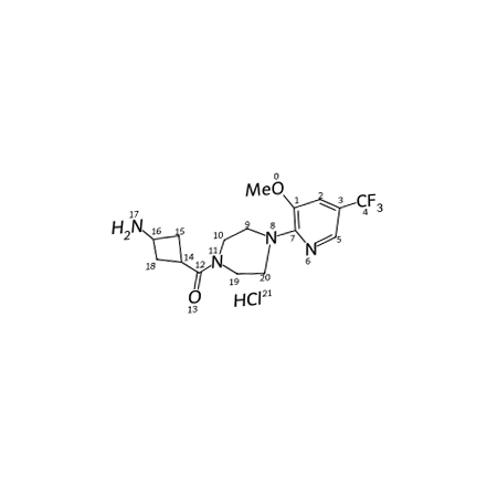 COc1cc(C(F)(F)F)cnc1N1CCN(C(=O)C2CC(N)C2)CC1.Cl